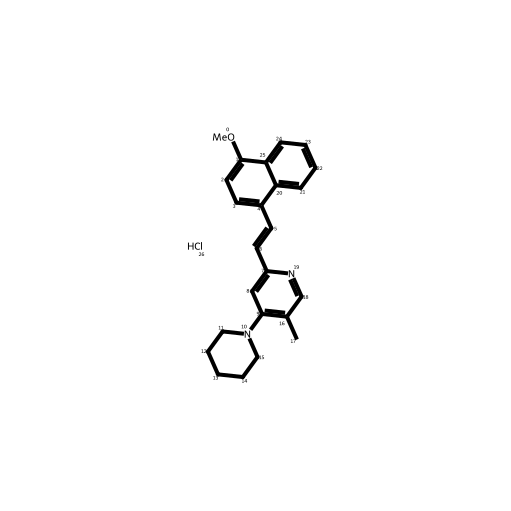 COc1ccc(C=Cc2cc(N3CCCCC3)c(C)cn2)c2ccccc12.Cl